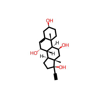 C#C[C@]1(O)CC[C@H]2[C@H]3[C@H]([C@@H](O)C[C@@]21C)[C@@]1(C)CC[C@H](O)CC1=C[C@H]3O